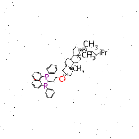 CC(C)CCC[C@@H](C)[C@H]1CCC2C3CC=C4C[C@@H](OCCC(P(c5ccccc5)c5ccccc5)P(c5ccccc5)c5ccccc5)CC[C@]4(C)C3CC[C@@]21C